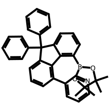 CC1(C)OB(c2cccc3c2-c2c(-c4cccnc4)cccc2C3(c2ccccc2)c2ccccc2)OC1(C)C